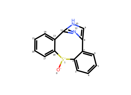 [O-][S+]1c2ccccc2-c2c[nH]c(n2)-c2ccccc21